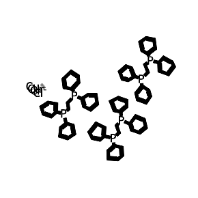 [Cl-].[Cl-].[Cu+].[Cu+].c1ccc(P(CCP(c2ccccc2)c2ccccc2)c2ccccc2)cc1.c1ccc(P(CCP(c2ccccc2)c2ccccc2)c2ccccc2)cc1.c1ccc(P(CCP(c2ccccc2)c2ccccc2)c2ccccc2)cc1